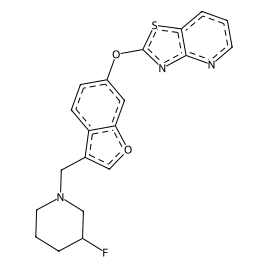 FC1CCCN(Cc2coc3cc(Oc4nc5ncccc5s4)ccc23)C1